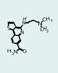 CN(C)CCNc1nc2cc(C(N)=O)ccc2c2sccc12